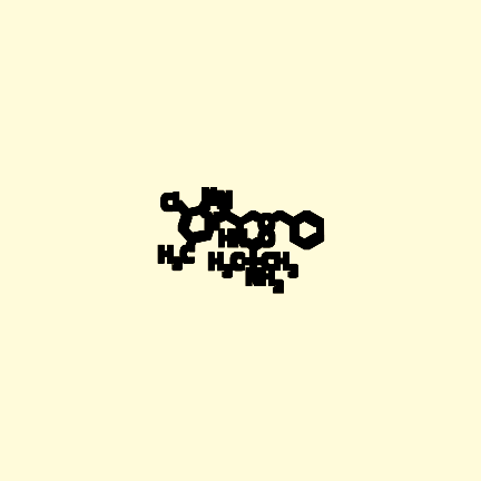 Cc1cc(Cl)c2nnc([C@@H](COCc3ccccc3)NC(=O)C(C)(C)N)n2c1